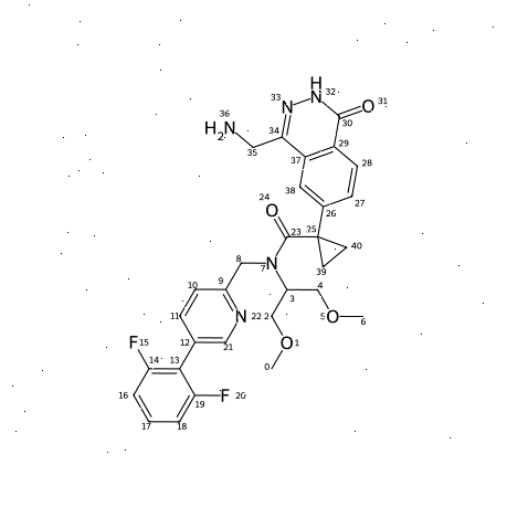 COCC(COC)N(Cc1ccc(-c2c(F)cccc2F)cn1)C(=O)C1(c2ccc3c(=O)[nH]nc(CN)c3c2)CC1